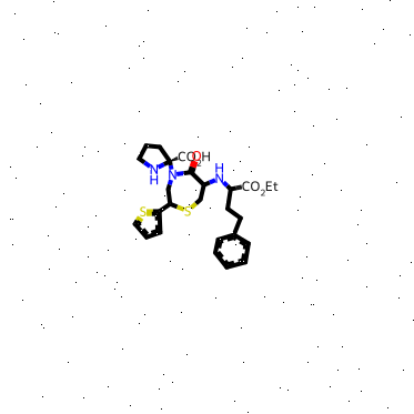 CCOC(=O)C(CCc1ccccc1)NC1CSC(c2cccs2)CN([C@@]2(C(=O)O)CCCN2)C1=O